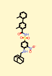 Cc1cc(-c2ccccc2C)ccc1C(=O)NS(=O)(=O)c1ccc(NCC23CC4CC(CC(C4)C2)C3)c([N+](=O)[O-])c1